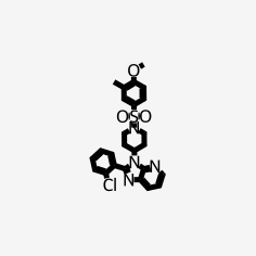 COc1ccc(S(=O)(=O)N2CCC(n3c(-c4ccccc4Cl)nc4cccnc43)CC2)cc1C